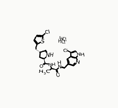 CC(NC(=O)[C@H]1C[C@H](Cc2ccc(Cl)s2)CN1)C(=O)NCc1cnc2[nH]cc(Cl)c2c1.Cl.Cl